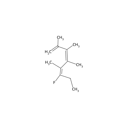 C=C(C)/C(C)=C(C)\C(C)=C(\F)CC